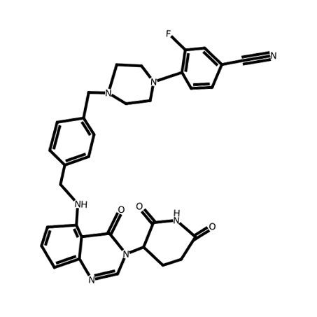 N#Cc1ccc(N2CCN(Cc3ccc(CNc4cccc5ncn(C6CCC(=O)NC6=O)c(=O)c45)cc3)CC2)c(F)c1